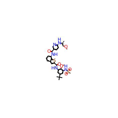 COC[C@H](C)Nc1ccc(C(=O)Nc2cccc3cc(C(=O)Nc4cc(C(C)(C)C)cc(NS(C)(=O)=O)c4OC)sc23)cn1